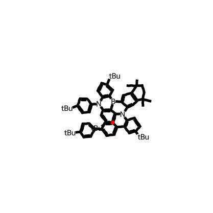 CC(C)(C)c1ccc(-c2ccc(-c3cc(C(C)(C)C)ccc3N3c4cc5c(cc4B4c6cc(C(C)(C)C)ccc6N(c6ccc(C(C)(C)C)cc6)c6cc(C(C)(C)C)cc3c64)C(C)(C)CCC5(C)C)cc2)cc1